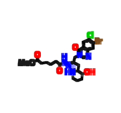 COC(=O)CCCCC(=O)N/N=C(/CC1NCCCC1O)Cn1cnc2cc(Br)c(Cl)cc2c1=O